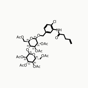 C=CCCC(=O)Nc1cc(CO[C@@H]2O[C@H](COC(C)=O)[C@@H](O[C@H]3O[C@H](COC(C)=O)[C@@H](OC(C)=O)[C@H](OC(C)=O)[C@H]3OC(C)=O)[C@H](OC(C)=O)[C@H]2OC(C)=O)ccc1Cl